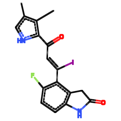 Cc1c[nH]c(C(=O)C=C(I)c2c(F)ccc3c2CC(=O)N3)c1C